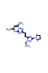 CCn1nc(N2CCCC2)nc1/C=C/c1nc2nc(C)cc(C)n2n1